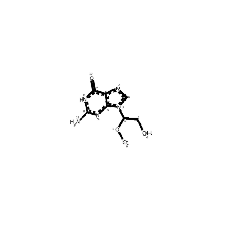 CCOC(CO)n1cnc2c(=O)[nH]c(N)nc21